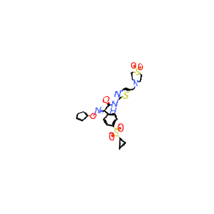 O=C(Nc1ncc(CN2CCS(=O)(=O)CC2)s1)/C(=N/OC1CCCC1)c1ccc(S(=O)(=O)C2CC2)cc1